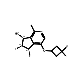 Cc1ncc(OC2CC(F)(F)C2)c2c1[C@H](O)[C@H](F)[C@@H]2F